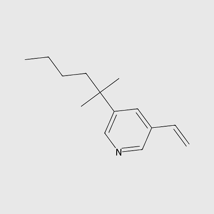 C=Cc1cncc(C(C)(C)CCCC)c1